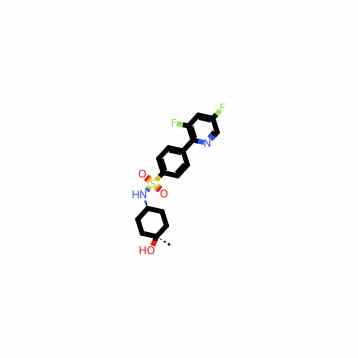 C[C@]1(O)CC[C@H](NS(=O)(=O)c2ccc(-c3ncc(F)cc3F)cc2)CC1